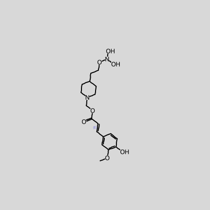 COc1cc(/C=C/C(=O)OCN2CCC(CCON(O)O)CC2)ccc1O